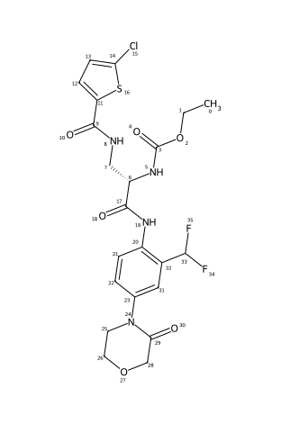 CCOC(=O)N[C@@H](CNC(=O)c1ccc(Cl)s1)C(=O)Nc1ccc(N2CCOCC2=O)cc1C(F)F